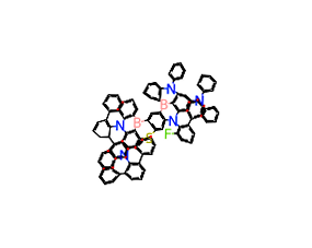 Fc1cccc(-c2ccccc2)c1N1c2cc3c(cc2B2c4ccccc4N(c4ccccc4)c4cc(N(c5ccccc5)c5ccccc5)cc1c42)B1c2ccccc2N(C2=C(c4ccccc4)C=CCC2c2ccccc2)c2cc(N(c4ccccc4)c4c(-c5ccccc5)cccc4-c4ccccc4)cc(c21)S3